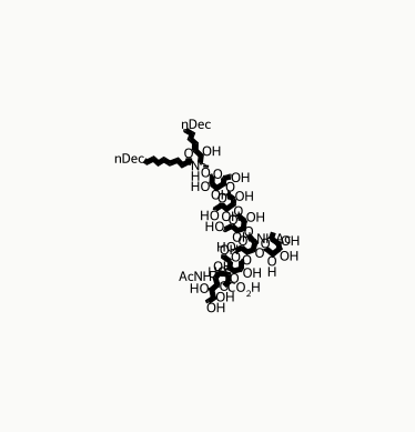 CCCCCCCCCCCCC/C=C/[C@@H](O)[C@H](CO[C@@H]1OC(CO)[C@@H](O[C@@H]2OC(CO)[C@H](O)[C@H](O[C@H]3OC(CO)[C@H](O)[C@H](O[C@@H]4OC(CO)[C@@H](O[C@@H]5OC(CO)[C@H](O)[C@H](O[C@]6(C(=O)O)CC(O)[C@@H](NC(C)=O)C([C@H](O)[C@H](O)CO)O6)C5O)[C@H](O[C@H]5OC(C)[C@@H](O)C(O)[C@@H]5O)C4NC(C)=O)C3O)C2O)[C@H](O)C1O)NC(=O)CCCCCCCCCCCCCCCCC